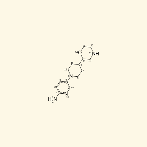 Nc1ccc(N2CCC(C3CNCCO3)CC2)cn1